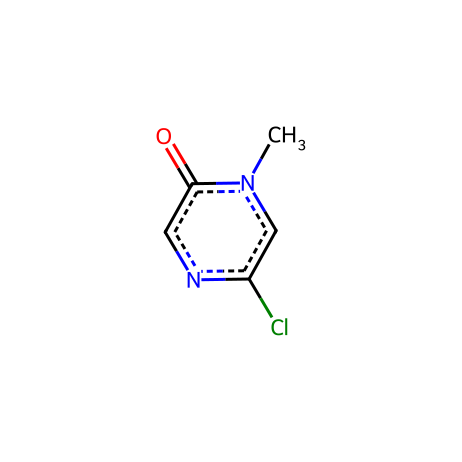 Cn1cc(Cl)ncc1=O